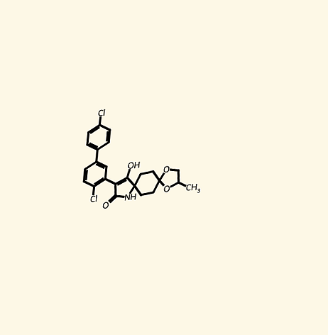 CC1COC2(CCC3(CC2)NC(=O)C(c2cc(-c4ccc(Cl)cc4)ccc2Cl)=C3O)O1